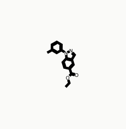 CCOC(=O)c1ccc2c(cnn2-c2cccc(C)c2)c1